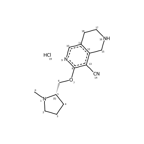 CN1CCC[C@H]1COc1ncc2c(c1C#N)CNCC2.Cl